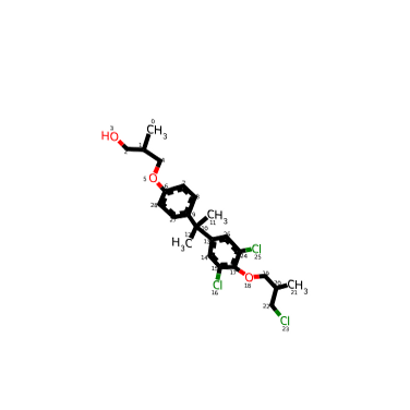 CC(CO)COc1ccc(C(C)(C)c2cc(Cl)c(OCC(C)CCl)c(Cl)c2)cc1